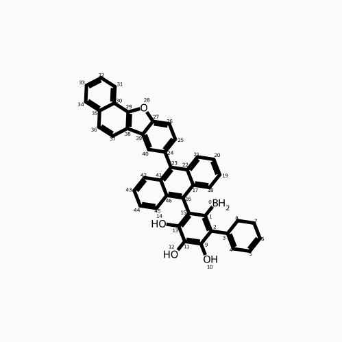 Bc1c(C2=CC=CCC2)c(O)c(O)c(O)c1-c1c2ccccc2c(-c2ccc3oc4c5ccccc5ccc4c3c2)c2ccccc12